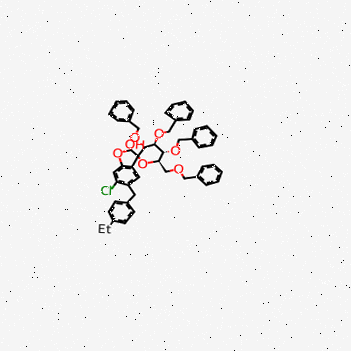 CCc1ccc(Cc2cc3c(cc2Cl)O[C@@H](O)C32O[C@H](COCc3ccccc3)[C@@H](OCc3ccccc3)[C@H](OCc3ccccc3)[C@H]2OCc2ccccc2)cc1